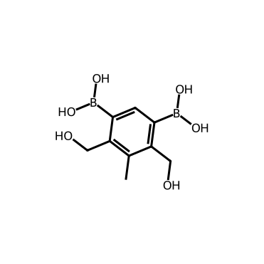 Cc1c(CO)c(B(O)O)cc(B(O)O)c1CO